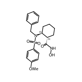 COc1ccc(S(=O)(=O)N(Cc2ccccc2)[C@H]2CCCC[C@@H]2C(=O)NO)cc1